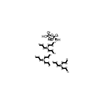 CCCN(CCC)CCC.CCCN(CCC)CCC.CCCN(CCC)CCC.O=P(O)(O)OP(=O)(O)O